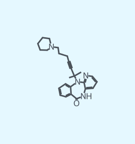 CC(C)(C#CCCCN1CCCCC1)N1c2ccccc2C(=O)Nc2cccnc21